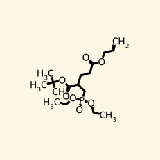 C=CCOC(=O)CCC(CP(=O)(OCC)OCC)C(=O)OC(C)(C)C